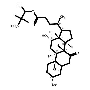 CC(=O)O[C@@H]1CC[C@@]2(C)C(CC(=O)[C@H]3[C@@H]4CC[C@H]([C@H](C)CCC(=O)OC(C(F)(F)F)C(F)(F)S(=O)(=O)O)[C@@]4(C)[C@@H](O)C[C@@H]32)C1